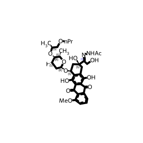 CCCOC[C@H](C)O[C@@H]1[C@H](C)O[C@@H](O[C@H]2C[C@](O)(/C(CO)=N/NC(C)=O)Cc3c(O)c4c(c(O)c32)C(=O)c2c(OC)cccc2C4=O)C[C@@H]1I